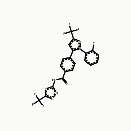 O=C(Nc1nnc(C(F)(F)F)s1)c1ccc(-c2cc(C(F)(F)F)nn2-c2ccccc2Cl)cc1